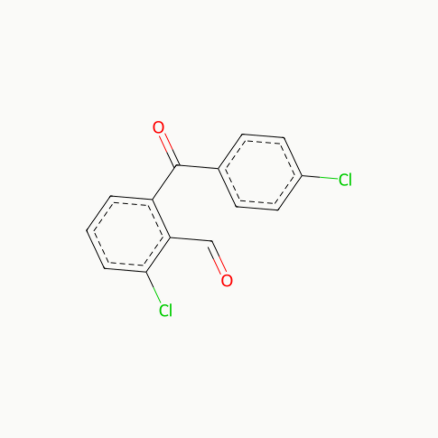 O=Cc1c(Cl)cccc1C(=O)c1ccc(Cl)cc1